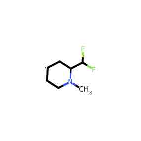 CN1CC[CH]CC1C(F)F